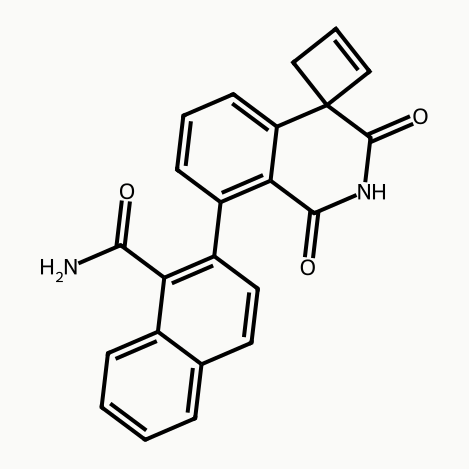 NC(=O)c1c(-c2cccc3c2C(=O)NC(=O)C32C=CC2)ccc2ccccc12